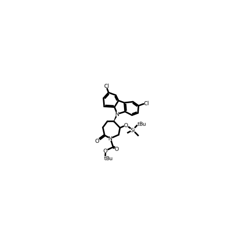 CC(C)(C)OC(=O)N1CC(O[Si](C)(C)C(C)(C)C)[C@H](n2c3ccc(Cl)cc3c3cc(Cl)ccc32)CCC1=O